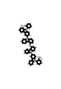 Cc1ccccc1-n1c2ccccc2c2cc(-n3c4ccccc4c4c(Oc5cccc6c5c5ccccc5n6-c5ccc6c(c5)c5ccccc5n6-c5ccccc5C)cccc43)ccc21